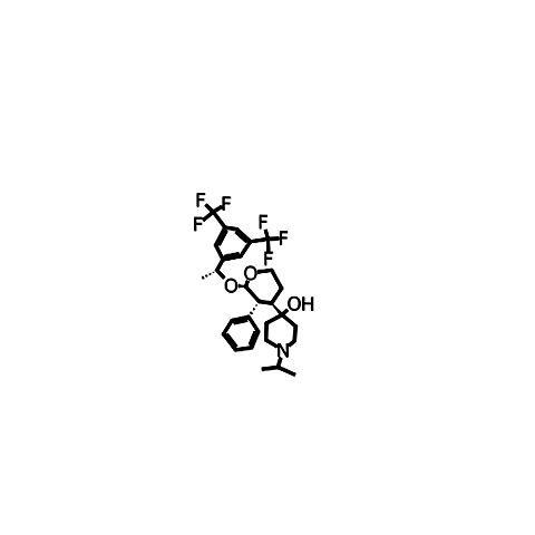 CC(C)N1CCC(O)([C@@H]2CCO[C@H](O[C@H](C)c3cc(C(F)(F)F)cc(C(F)(F)F)c3)[C@H]2c2ccccc2)CC1